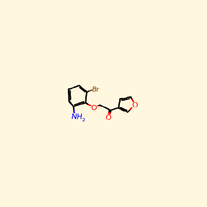 Nc1cccc(Br)c1OCC(=O)c1ccoc1